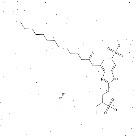 CCCCCCCCCCCCCC(=S)Cc1cc(S(=O)(=O)[O-])cc2[nH]c(CCC(CC)S(=O)(=O)[O-])nc12.[K+].[K+]